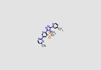 CCS(=O)(=O)c1cc(-c2nccc(C#N)n2)cnc1-c1nnc(-c2cc(C(F)(F)F)ccn2)n1C